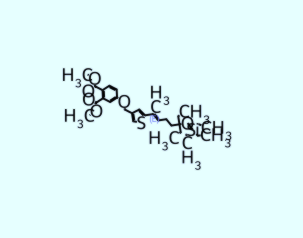 CCC(CC)(CC/C=C(\C)c1cc(COc2ccc(C(=O)OC)c(C(=O)OC)c2)cs1)O[Si](CC)(CC)CC